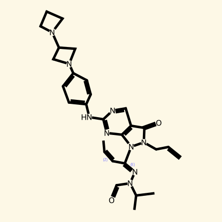 C=CCn1c(=O)c2cnc(Nc3ccc(N4CC(N5CCC5)C4)cc3)nc2n1C(/C=C\C)=N/N(C=O)C(C)C